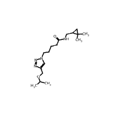 CC(C)OCc1cn(CCCCC(=O)NCC2CC2(C)C)nn1